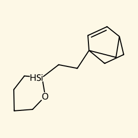 C1=CC2(CC[SiH]3CCCCO3)CCC1C2